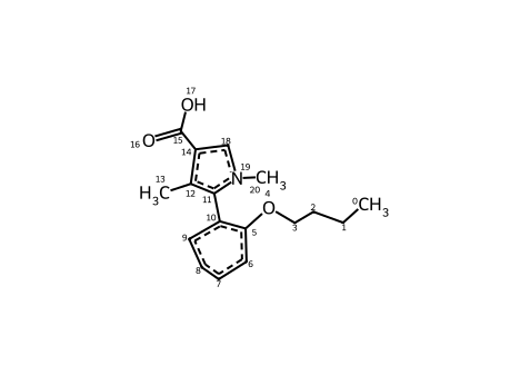 CCCCOc1ccccc1-c1c(C)c(C(=O)O)cn1C